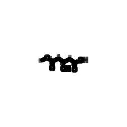 COC(=O)C[C@@H](O)CC(=O)O